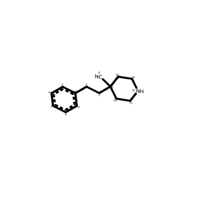 N#CC1(CCc2ccccc2)CCNCC1